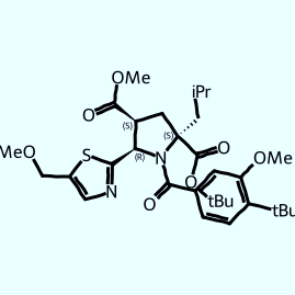 COCc1cnc([C@H]2[C@@H](C(=O)OC)C[C@@](CC(C)C)(C(=O)OC(C)(C)C)N2C(=O)c2ccc(C(C)(C)C)c(OC)c2)s1